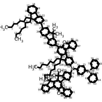 CCCCCCCC1(CCCCCCC)c2ccccc2-c2ccc(-c3ccc4c(c3)C(C)(C)c3cc(-c5cc6c(c7c5oc5ccccc57)-c5ccc(N(c7ccc(N(c8ccccc8)c8ccccc8)cc7)c7ccc8c(c7)C(C)(C)c7c9c(c%10oc%11ccccc%11c%10c7-8)-c7ccccc7C9(C)C)cc5C6(CCCCCCC)CCCCCCC)ccc3-4)cc21